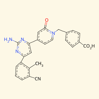 Cc1c(C#N)cccc1-c1cc(-c2ccn(Cc3ccc(C(=O)O)cc3)c(=O)c2)nc(N)n1